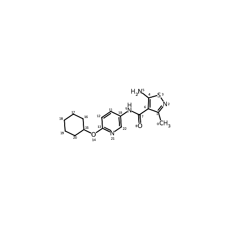 Cc1nsc(N)c1C(=O)Nc1ccc(OC2CCCCC2)nc1